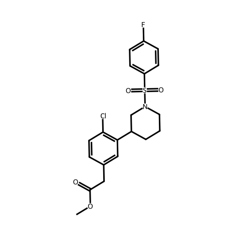 COC(=O)Cc1ccc(Cl)c(C2CCCN(S(=O)(=O)c3ccc(F)cc3)C2)c1